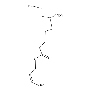 CCCCCCCCCC/C=C\COC(=O)CCCCC(CCO)CCCCCCCCC